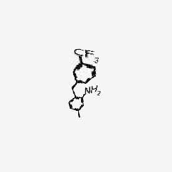 Cc1ccc(Cc2cccc(C(F)(F)F)c2)c(N)c1